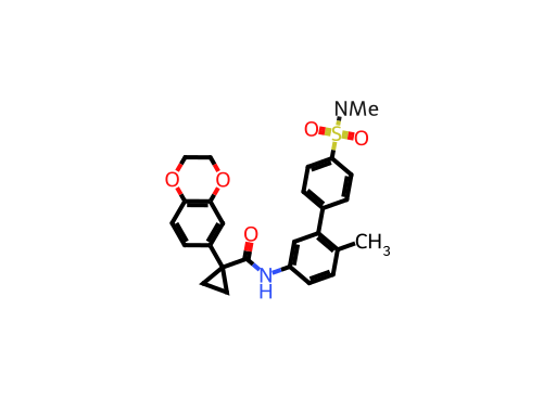 CNS(=O)(=O)c1ccc(-c2cc(NC(=O)C3(c4ccc5c(c4)OCCO5)CC3)ccc2C)cc1